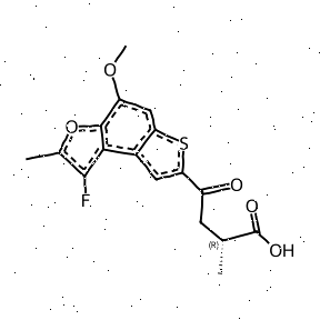 COc1cc2sc(C(=O)C[C@@H](C)C(=O)O)cc2c2c(F)c(C)oc12